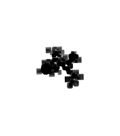 CC(C)C[C@H](NC(=O)[C@H](CCCNC(=N)N[N+](=O)[O-])NC(=O)c1cnc[nH]1)B1O[C@@H]2C[C@@H]3C[C@@H](C3(C)C)[C@]2(C)O1